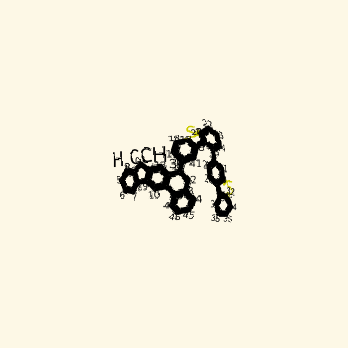 CC1(C)c2ccccc2-c2cc3c(cc21)C(c1ccc2sc4cccc(-c5ccc6c(c5)sc5ccccc56)c4c2c1)Cc1ccccc1-3